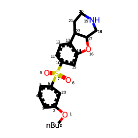 CCCCOc1cccc(S(=O)(=O)c2ccc3c(c2)OC2CNCCC32)c1